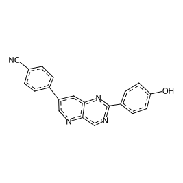 N#Cc1ccc(-c2cnc3cnc(-c4ccc(O)cc4)nc3c2)cc1